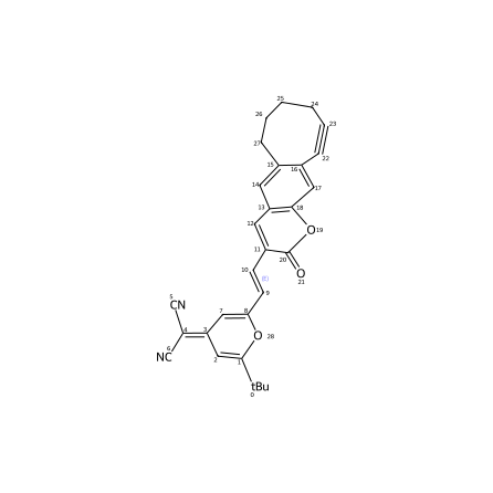 CC(C)(C)C1=CC(=C(C#N)C#N)C=C(/C=C/c2cc3cc4c(cc3oc2=O)C#CCCCC4)O1